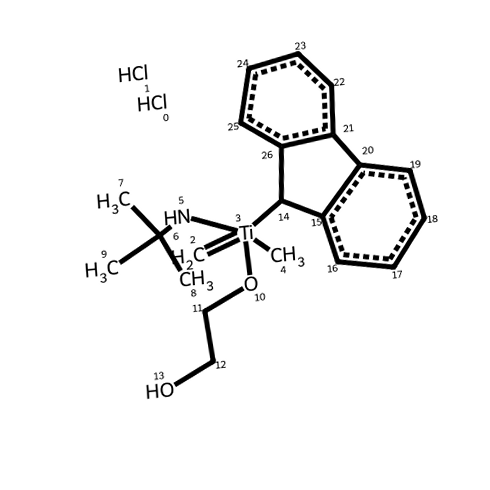 Cl.Cl.[CH2]=[Ti]([CH3])([NH]C(C)(C)C)([O]CCO)[CH]1c2ccccc2-c2ccccc21